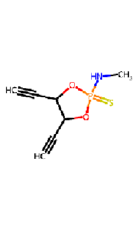 C#CC1OP(=S)(NC)OC1C#C